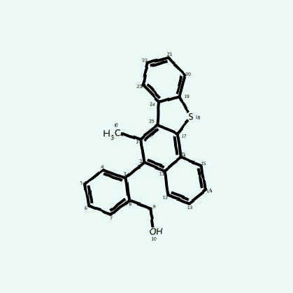 Cc1c(-c2ccccc2CO)c2ccccc2c2sc3ccccc3c12